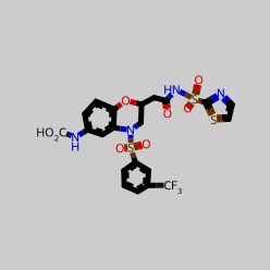 O=C(O)Nc1ccc2c(c1)N(S(=O)(=O)c1cccc(C(F)(F)F)c1)CC(CC(=O)NS(=O)(=O)c1nccs1)O2